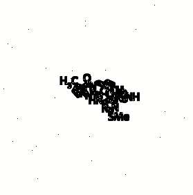 C/C=C\C=C\n1c(C(C)Nc2nc(SC)nc(NC=N)c2C=O)nn2ccc(C)c2c1=O